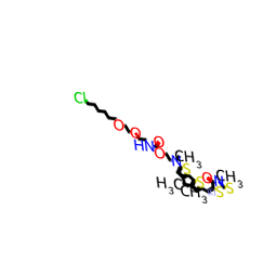 CN1C(=O)/C(=C\c2cc3c(s2)-c2sc(N(C)CCOC(=O)NCCOCCOCCCCCCCl)cc2C3(C)C)SC1=S